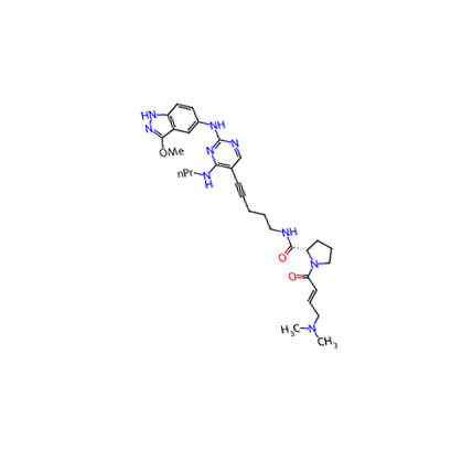 CCCNc1nc(Nc2ccc3[nH]nc(OC)c3c2)ncc1C#CCCCNC(=O)[C@@H]1CCCN1C(=O)/C=C/CN(C)C